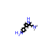 CN(C)CCc1c[nH]c2ccc(C3CCC(N)CC3)cc12